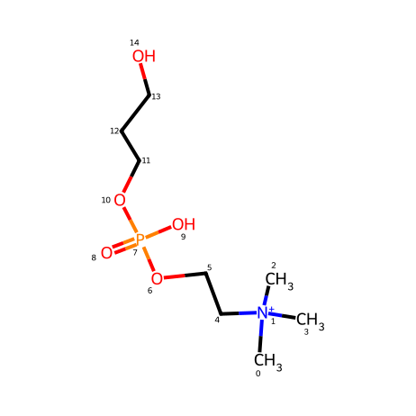 C[N+](C)(C)CCOP(=O)(O)OCCCO